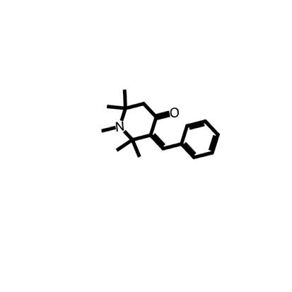 CN1C(C)(C)CC(=O)/C(=C\c2ccccc2)C1(C)C